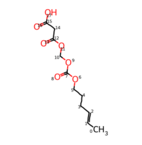 CC=CCCCOC(=O)OCOC(=O)CC(=O)O